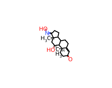 C[C@]12CCC(=O)C=C1CCC1C2[C@@H](O)C[C@]2(C)/C(=N/O)CCC12